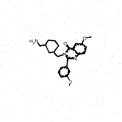 COc1cccc(-c2nc3ccc(OC)cc3c(=O)n2CC2CCCC(CN)C2)c1